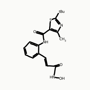 Cc1nc(C(C)(C)C)sc1C(=O)Nc1ccccc1/C=C/C(=O)NO